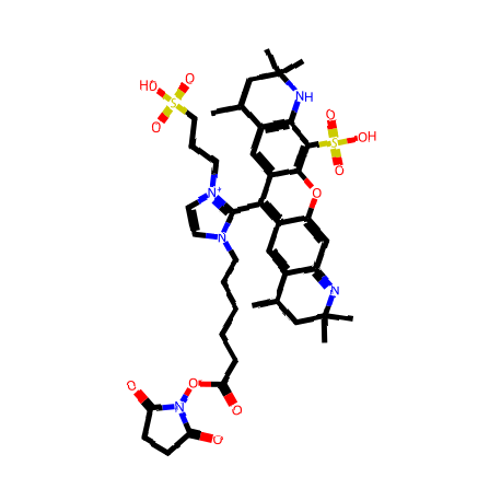 CC1CC(C)(C)Nc2c1cc1c(c2S(=O)(=O)O)Oc2cc3c(cc2=C1c1n(CCCCCC(=O)ON2C(=O)CCC2=O)cc[n+]1CCCS(=O)(=O)O)C(C)CC(C)(C)N=3